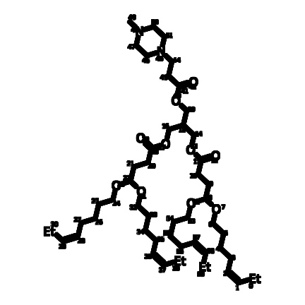 CC/C=C\CCCCOC(CCC(=O)OCC(COC(=O)CCC(OCCCC/C=C\CC)OCCCC/C=C\CC)COC(=O)CCN1CCN(C)CC1)OCCCC/C=C\CC